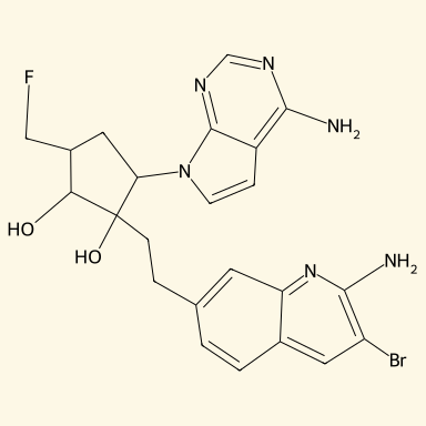 Nc1nc2cc(CCC3(O)C(O)C(CF)CC3n3ccc4c(N)ncnc43)ccc2cc1Br